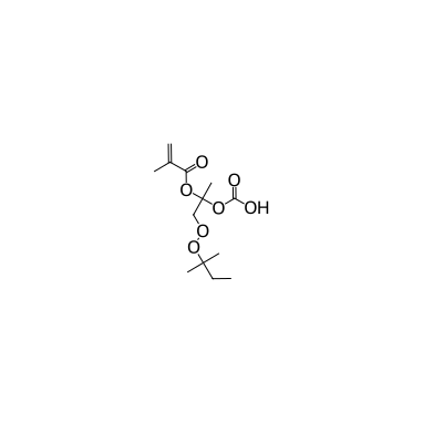 C=C(C)C(=O)OC(C)(COOC(C)(C)CC)OC(=O)O